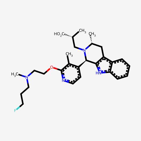 Cc1c([C@@H]2c3[nH]c4ccccc4c3C[C@@H](C)N2C[C@@H](C)C(=O)O)ccnc1OCCN(C)CCCF